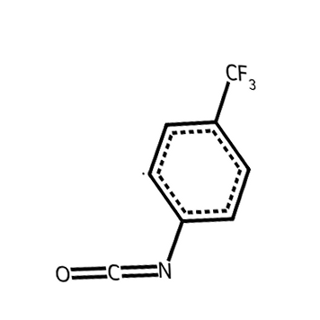 O=C=Nc1[c]cc(C(F)(F)F)cc1